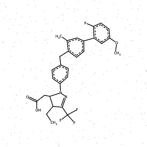 CCC1C(C(F)(F)F)=NN(c2ccc(Cc3ccc(-c4cc(OC)ccc4F)cc3C)cc2)C1CC(=O)O